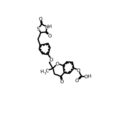 CC1(COc2ccc(CC3SC(=O)NC3=O)cc2)CC(=O)c2cc(OC(=O)O)ccc2O1